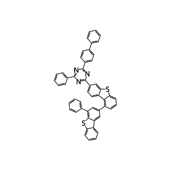 c1ccc(-c2ccc(-c3nc(-c4ccccc4)nc(-c4ccc5c(c4)sc4cccc(-c6cc(-c7ccccc7)c7sc8ccccc8c7c6)c45)n3)cc2)cc1